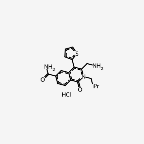 CC(C)Cn1c(CN)c(-c2cccs2)c2cc(C(N)=O)ccc2c1=O.Cl